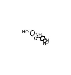 O=C(N[C@H]1CC[C@H](O)CC1)c1ccc2nonc2c1